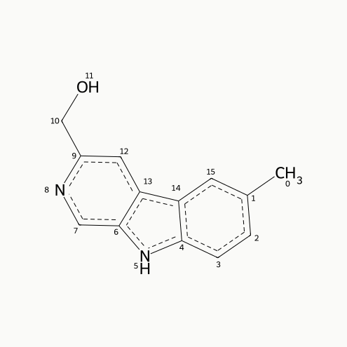 Cc1ccc2[nH]c3cnc(CO)cc3c2c1